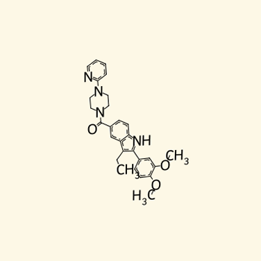 CCc1c(-c2ccc(OC)c(OC)c2)[nH]c2ccc(C(=O)N3CCN(c4ccccn4)CC3)cc12